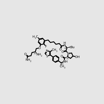 Cc1cc(CCCCCC(=O)N[C@H](C(=O)N2CC(O)C[C@H]2C(=O)N[C@@H](C)c2ccc(-c3scnc3C)cc2)C(C)(C)C)c(F)c(OC[C@@H](N)CCC(N)=O)c1